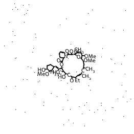 CCC1C=C(C)CC(C)CC(OC)C2OC(O)(C(=O)C(=O)N3C=CCCC3C(=O)OC(C(C)=CC3CCC(O)C(OC)C3)C(C)C(O)CC1=O)C(C)CC2OC